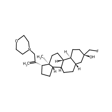 C=C(CN1CCOCC1)[C@H]1CC[C@H]2[C@@H]3CC[C@H]4C[C@@](O)(CF)CC[C@@H]4[C@H]3CC[C@]12C